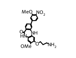 COc1cc2c(cc1OCCCN)Nc1cc(-c3ccc([N+](=O)[O-])c(OC)c3)ccc1C(=O)N2